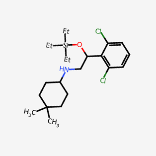 CC[Si](CC)(CC)OC(CNC1CCC(C)(C)CC1)c1c(Cl)cccc1Cl